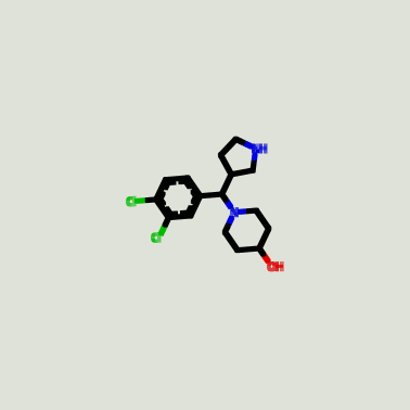 OC1CCN(C(c2ccc(Cl)c(Cl)c2)C2CCNC2)CC1